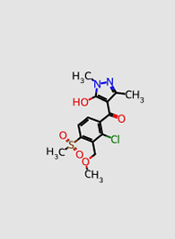 COCc1c(S(C)(=O)=O)ccc(C(=O)c2c(C)nn(C)c2O)c1Cl